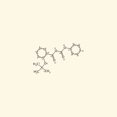 CC(C)(C)Oc1ccccc1C(=O)OC(=O)Oc1ccccc1